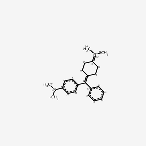 CN(C)c1ccc(C(=C2CCC(=[N+](C)C)CC2)c2ccccc2)cc1